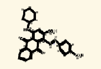 O=C1c2ccccc2C(=O)c2c(/N=N/c3ccc(S(=O)(=O)O)cc3)c(S(=O)(=O)O)cc(NC3CCCCC3)c21